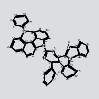 c1ccc(-c2nc(-n3c4cccc5c4c4c6c(cccc6ccc43)N5c3ccccc3)nc3c2c2ccccc2n2c4ccccc4nc32)cc1